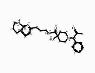 CC(=O)C(c1ccccc1)N1CCC(O)(C(=O)NCCCc2ccc3c(n2)NCCC3)CC1